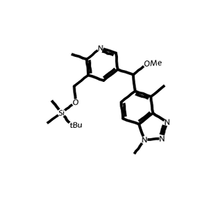 COC(c1cnc(C)c(CO[Si](C)(C)C(C)(C)C)c1)c1ccc2c(nnn2C)c1C